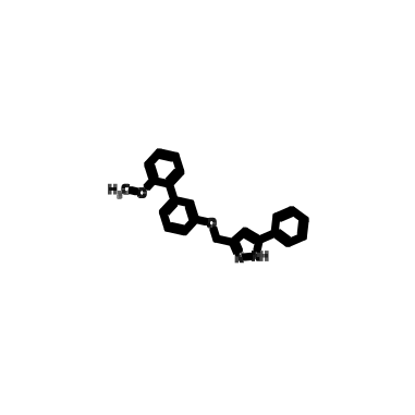 COc1ccccc1-c1cccc(OCc2cc(-c3ccccc3)[nH]n2)c1